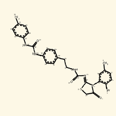 Cc1ccc(C(C)C)c(N2C(=O)CS/C2=N\C(=O)NCCc2ccc(NC(=O)Nc3ccc(C(F)(F)F)cc3)cc2)c1